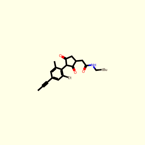 CC#Cc1cc(C)c(C2C(=O)CC(CC(=O)NCC(C)(C)C)C2=O)c(CC)c1